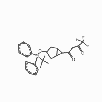 CC(C)(C)[Si](OC1CC2C(C1)C2C(=O)CC(=O)C(F)(F)F)(c1ccccc1)c1ccccc1